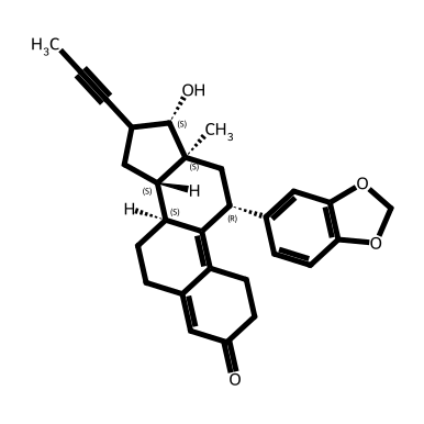 CC#CC1C[C@H]2[C@@H]3CCC4=CC(=O)CCC4=C3[C@@H](c3ccc4c(c3)OCO4)C[C@]2(C)[C@H]1O